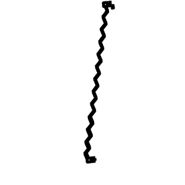 [CH]=CC=CC=CC=CCCCCCCCCCCCCCCCCCC